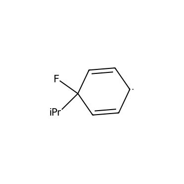 CC(C)C1(F)C=C[CH]C=C1